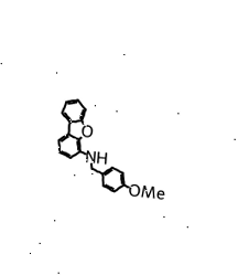 COc1ccc(CNc2cccc3c2oc2ccccc23)cc1